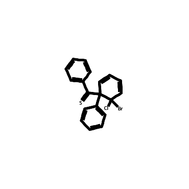 S=C(c1ccccc1)C1(c2ccccc2)C=CC=CC1(Cl)Br